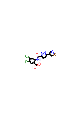 O=C(Nc1cc(Cl)c(F)cc1C(=O)O)c1ccc(-c2cnsc2)nn1